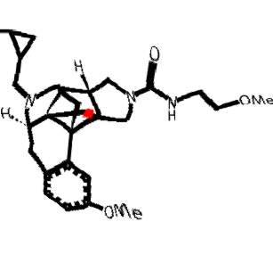 COCCNC(=O)N1C[C@H]2C[C@@]34CCC1C2[C@@]31CCN(CC2CC2)[C@@H]4Cc2ccc(OC)cc21